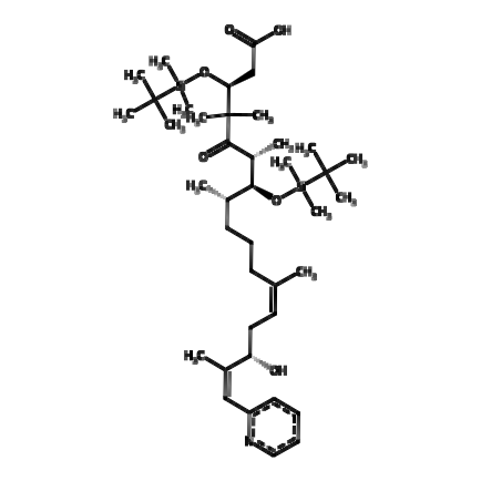 CC(=CC[C@H](O)C(C)=Cc1ccccn1)CCC[C@H](C)[C@H](O[Si](C)(C)C(C)(C)C)[C@@H](C)C(=O)C(C)(C)[C@H](CC(=O)O)O[Si](C)(C)C(C)(C)C